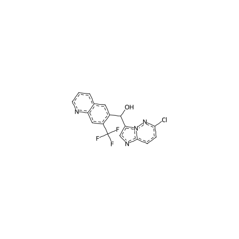 OC(c1cc2cccnc2cc1C(F)(F)F)c1cnc2ccc(Cl)nn12